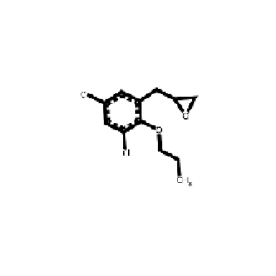 CCCOc1c(Cl)cc(Cl)cc1CC1CO1